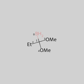 BC(CC)(OC)OC